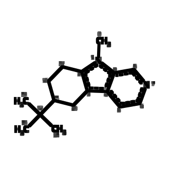 Cn1c2c(c3ccncc31)CC(C(C)(C)C)CC2